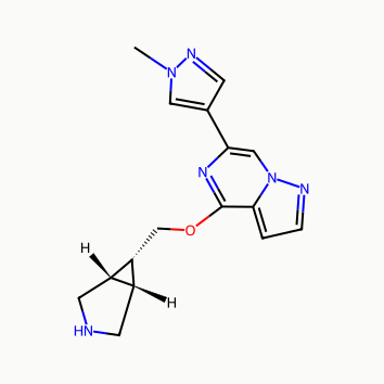 Cn1cc(-c2cn3nccc3c(OC[C@@H]3[C@@H]4CNC[C@@H]43)n2)cn1